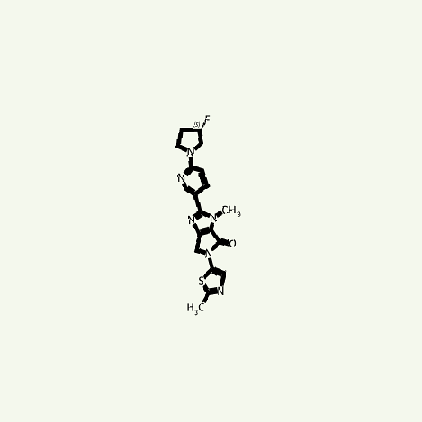 Cc1ncc(N2Cc3nc(-c4ccc(N5CC[C@H](F)C5)nc4)n(C)c3C2=O)s1